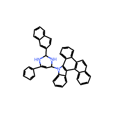 C1=C(c2ccccc2)NC(c2ccc3ccccc3c2)NC1n1c2ccccc2c2c3c4ccccc4ccc3c3ccccc3c21